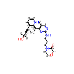 Cc1cnc(NCCCN2CCOCC2=O)nc1C(C#N)=C1NC=CC=C1C#CC(C)(C)O